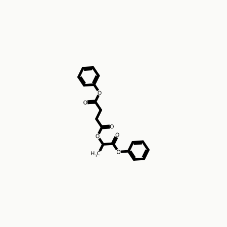 CC(OC(=O)CCC(=O)Oc1ccccc1)C(=O)Oc1ccccc1